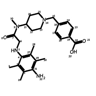 Cc1c(C)c(NCC(=O)N(C)C2CCN(Cc3ccc(C(=O)O)cc3)CC2)c(C)c(C)c1N